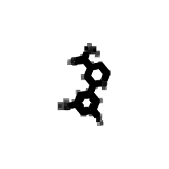 NC(=O)C1CCOC(c2cc(O)cc(F)c2)C1